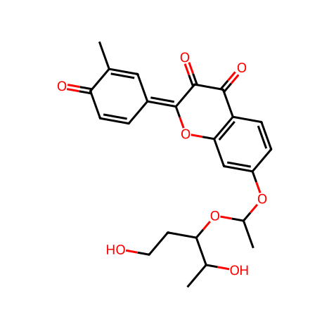 CC1=C/C(=C2/Oc3cc(OC(C)OC(CCO)C(C)O)ccc3C(=O)C2=O)C=CC1=O